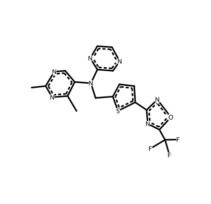 Cc1ncc(N(Cc2ccc(-c3noc(C(F)(F)F)n3)s2)c2cnccn2)c(C)n1